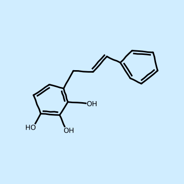 Oc1ccc(C/C=C/c2ccccc2)c(O)c1O